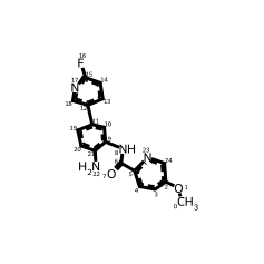 COc1ccc(C(=O)Nc2cc(-c3ccc(F)nc3)ccc2N)nc1